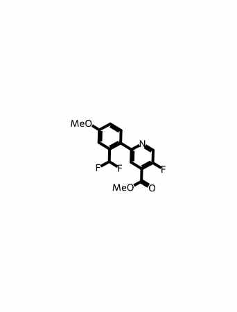 COC(=O)c1cc(-c2ccc(OC)cc2C(F)F)ncc1F